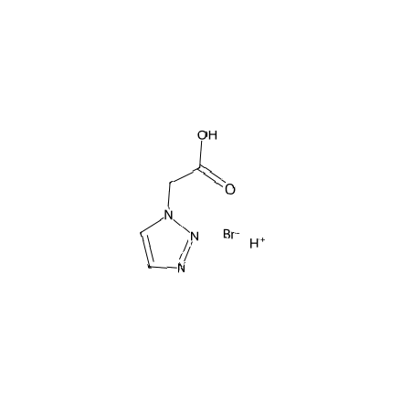 O=C(O)Cn1ccnn1.[Br-].[H+]